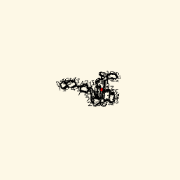 c1ccc2cc(-c3ccc(N(c4ccc5c(c4)sc4ccccc45)c4cccc5oc6c7ccccc7ccc6c45)cc3)ccc2c1